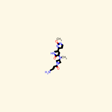 COc1nccc(-c2c[nH]c(=O)c(N(C)C3CN(C(=O)C=CCN)C3)c2)n1